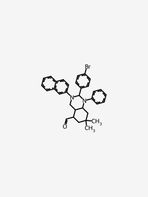 CC1(C)CC(C=O)C2CN(c3ccc4ccccc4c3)C(c3ccc(Br)cc3)N(c3ccccc3)C2C1